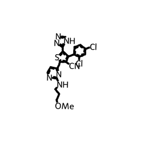 COCCCNc1nccc(-c2sc(-c3nnc[nH]3)c(-c3ccc(Cl)cc3Cl)c2C#N)n1